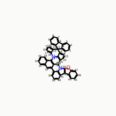 c1ccc2c(c1)-c1ccccc1C21c2ccccc2N2c3c(cccc31)B1c3c(cc4ccccc4c32)-c2cccc3c4c5ccccc5oc4n1c23